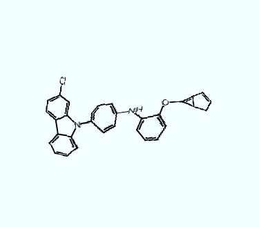 Clc1ccc2c3ccccc3n(-c3ccc(Nc4ccccc4OC4=C5C=CCC54)cc3)c2c1